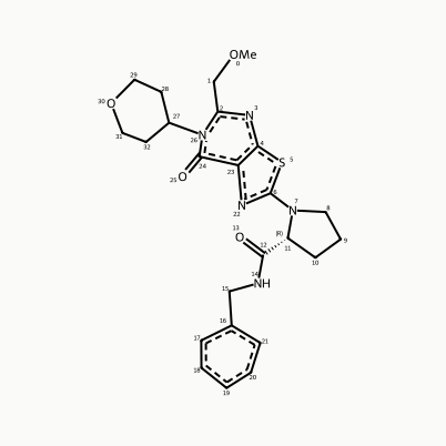 COCc1nc2sc(N3CCC[C@@H]3C(=O)NCc3ccccc3)nc2c(=O)n1C1CCOCC1